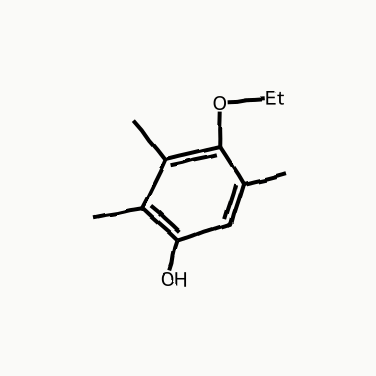 CCOc1c(C)cc(O)c(C)c1C